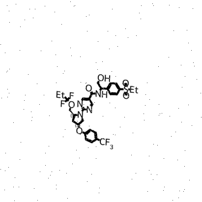 CCC(F)(F)OC[C@@H]1C[C@H](Oc2ccc(C(F)(F)F)cc2)CN1c1ncc(C(=O)NC(CO)c2ccc(S(=O)(=O)CC)cc2)cn1